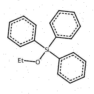 CCO[Si](c1ccccc1)(c1ccccc1)c1ccccc1